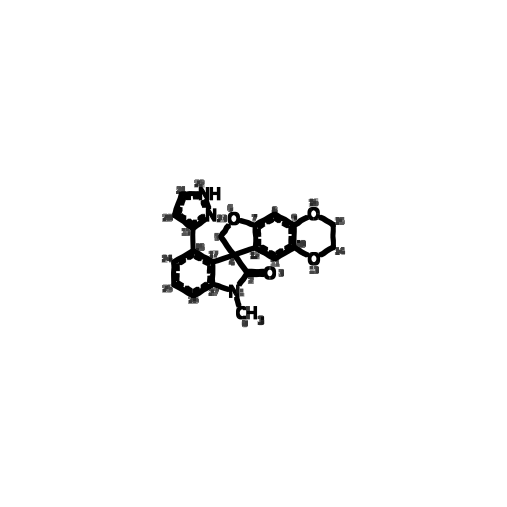 CN1C(=O)C2(COc3cc4c(cc32)OCCO4)c2c(-c3cc[nH]n3)cccc21